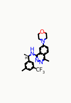 Cc1cc([C@@H](C)Nc2nnc(C)c3ccc(N4CCOCC4)cc23)cc(C(F)(F)F)c1